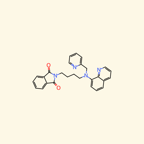 O=C1c2ccccc2C(=O)N1CCCCN(Cc1ccccn1)c1cccc2cccnc12